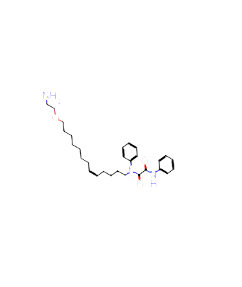 NCCOCCCCCCC/C=C\CCCCN(C(=O)C(=O)Nc1ccccc1)c1ccccc1